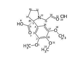 COc1cc([C@@]2(C(=O)O)CCCN2CC=O)cc(OC)c1OC.Cl